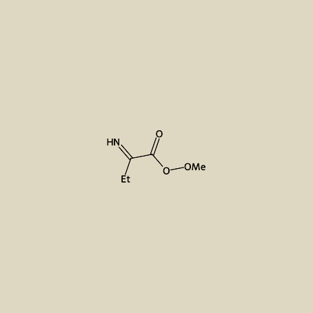 CCC(=N)C(=O)OOC